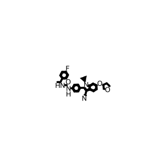 CC(NC(=O)Nc1ccc(-c2c(C#N)c3ccc(OC4CCOC4)cc3n2C2CC2)cc1)c1ccc(F)cc1